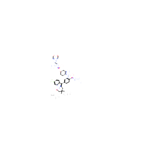 CCC1(CC)CC(=O)n2c(c(-c3ccc(C(N)=O)c(N[C@H]4CC[C@H](OC(=O)NCCN5CCOCC5)CC4)c3)c3ccc(F)cc32)C1